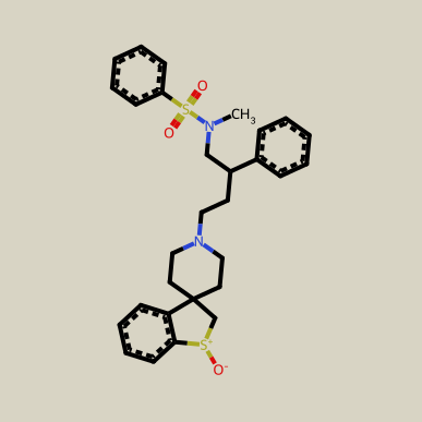 CN(CC(CCN1CCC2(CC1)C[S+]([O-])c1ccccc12)c1ccccc1)S(=O)(=O)c1ccccc1